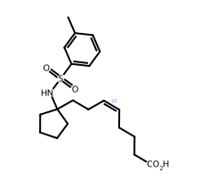 Cc1cccc(S(=O)(=O)NC2(CC/C=C\CCCC(=O)O)CCCC2)c1